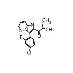 CCC(C)C(=O)c1nc2cccnn2c1-c1ccc(Cl)cc1F